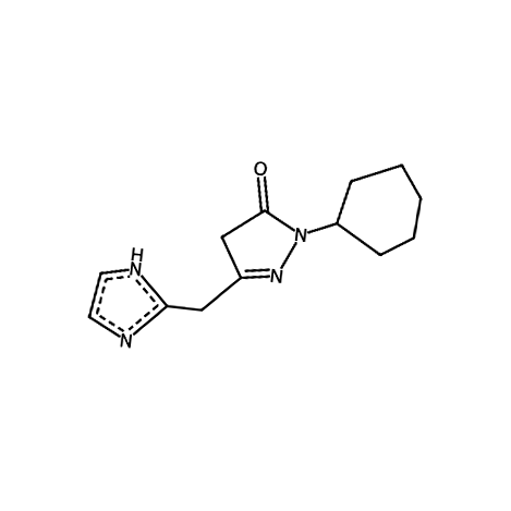 O=C1CC(Cc2ncc[nH]2)=NN1C1CCCCC1